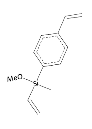 C=Cc1ccc([Si](C)(C=C)OC)cc1